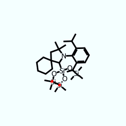 CC(C)c1cccc(C(C)C)c1N1C([Si](O[Si](C)(C)C)(O[Si](C)(C)C)O[Si](C)(C)C)C2(CCCCC2)CC1(C)C